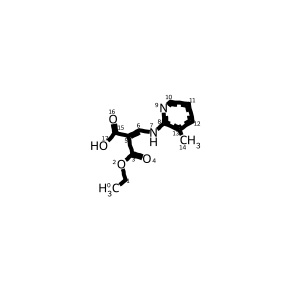 CCOC(=O)C(=CNc1ncccc1C)C(=O)O